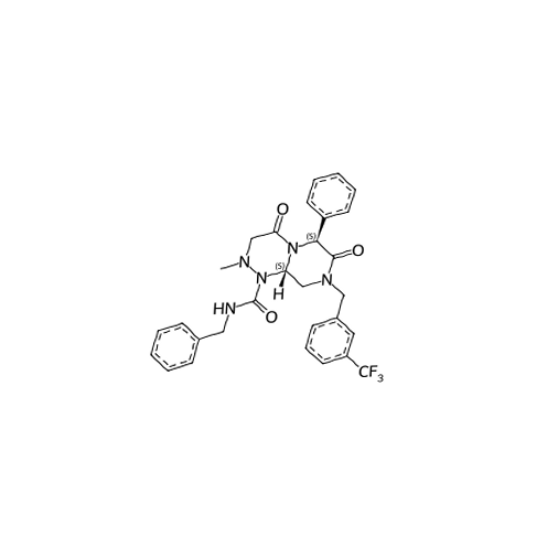 CN1CC(=O)N2[C@@H](c3ccccc3)C(=O)N(Cc3cccc(C(F)(F)F)c3)C[C@@H]2N1C(=O)NCc1ccccc1